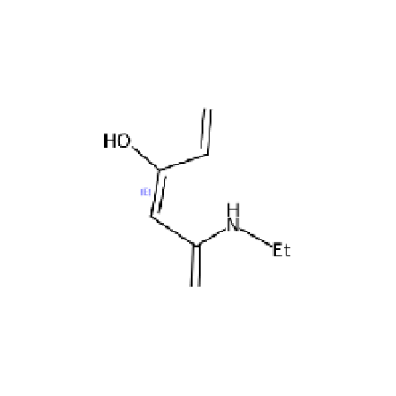 C=C/C(O)=C\C(=C)NCC